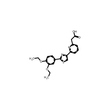 CCOc1ccc(-c2nc(-c3cccc(CC(=O)O)n3)cs2)cc1OCC